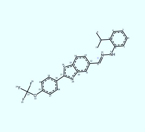 CC(C)c1ccccc1N/N=C/c1ccc2sc(-c3ccc(OC(F)(F)F)cc3)nc2c1